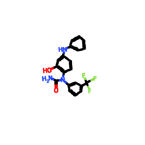 NC(=O)N(c1cccc(C(F)(F)F)c1)c1ccc(Nc2ccccc2)cc1O